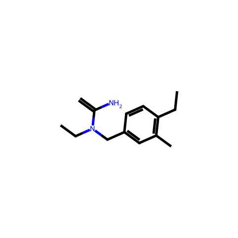 C=C(N)N(CC)Cc1ccc(CC)c(C)c1